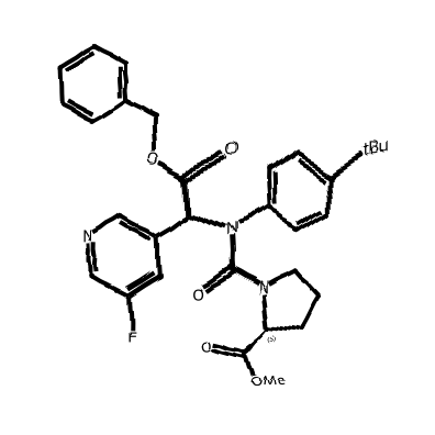 COC(=O)[C@@H]1CCCN1C(=O)N(c1ccc(C(C)(C)C)cc1)C(C(=O)OCc1ccccc1)c1cncc(F)c1